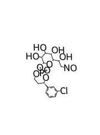 O=NC[C@@H](O)[C@H]1O[C@@H](O[P@]2(=O)OCC[C@H](c3cccc(Cl)c3)O2)[C@@H](O)[C@@H](O)[C@@H]1O